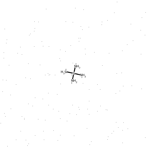 N[Si](N)(N)[SiH3]